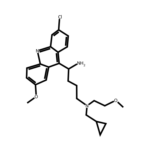 COCCN(CCCC(N)c1c2ccc(Cl)cc2nc2ccc(OC)cc12)CC1CC1